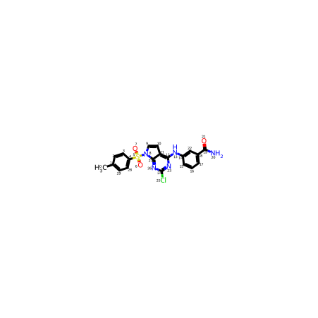 Cc1ccc(S(=O)(=O)n2ccc3c(Nc4cccc(C(N)=O)c4)nc(Cl)nc32)cc1